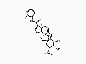 Cc1ncccc1NC(=O)C1=CCC2[C@]1(C)CC=C1C=C3[C@@H](O)[C@H](O)[C@@H](N(C)C)C[C@]34CC[C@@]12O4